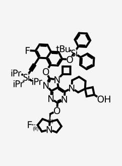 CC(C)[Si](C#Cc1c(F)ccc2cc(O[Si](c3ccccc3)(c3ccccc3)C(C)(C)C)cc(Oc3nc4nc(OC[C@@]56CCCN5C[C@H](F)C6)nc(N5CCCC6(CC(O)C6)C5)c4n3C3CCC3)c12)(C(C)C)C(C)C